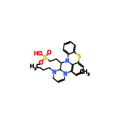 CCCN1C=CCN(CCC)C1C(CCS(=O)(=O)O)N1c2ccccc2Sc2ccccc21